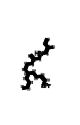 C=C/C(C)=C\NCC(=C)C\C=C/C(=C/C=C\C)CC/C=C\CCC